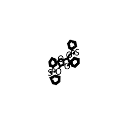 S=P(OC1COC2C(OP(=S)(c3ccccc3)c3ccccc3)COC12)(c1ccccc1)c1ccccc1